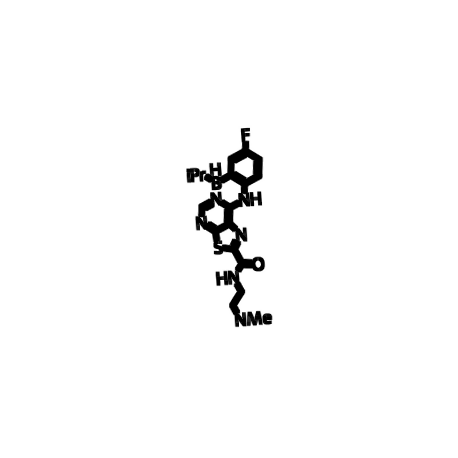 CNCCNC(=O)c1nc2c(Nc3ccc(F)cc3BC(C)C)ncnc2s1